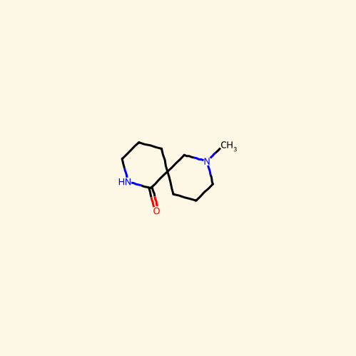 CN1CCCC2(CCCNC2=O)C1